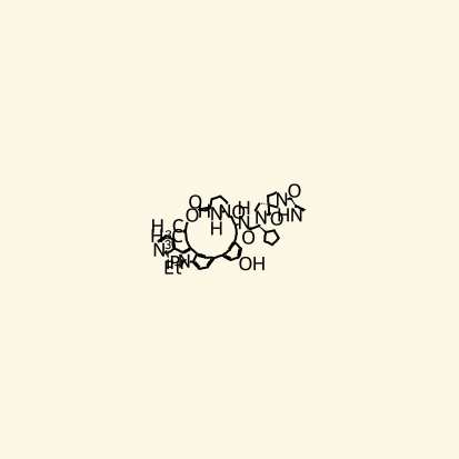 CCn1c(-c2cccnc2C(C)C)c2c3cc(ccc31)-c1cc(O)cc(c1)C[C@H](NC(=O)[C@H](C1CCCC1)N1CC[C@@]3(CCN(C(=O)[C@H]4CN4)C3)C1=O)C(=O)N1CCC[C@H](N1)C(=O)OCC(C)(C)C2